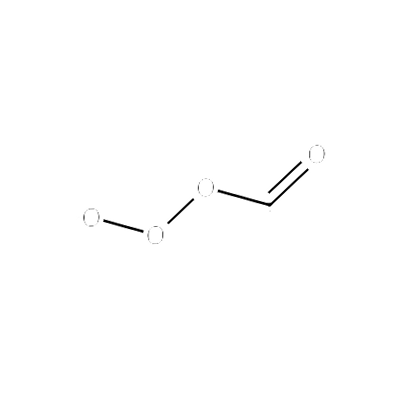 [O]OO[C]=O